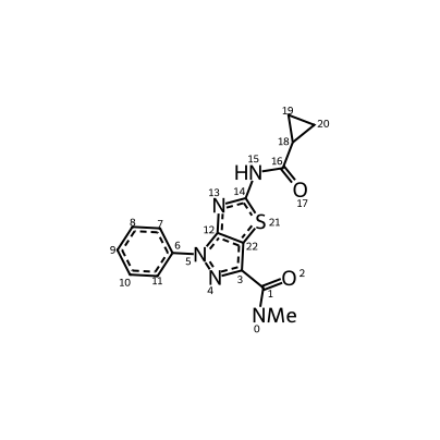 CNC(=O)c1nn(-c2ccccc2)c2nc(NC(=O)C3CC3)sc12